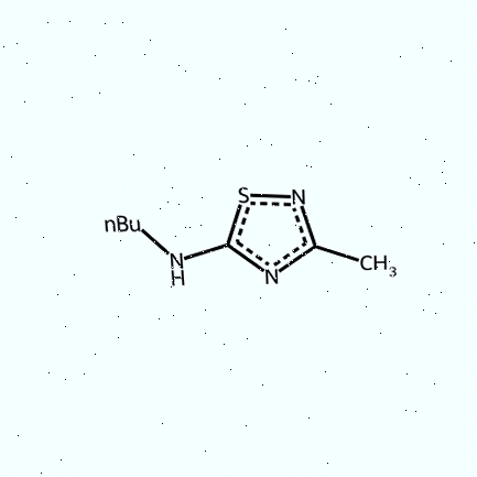 CCCCNc1nc(C)ns1